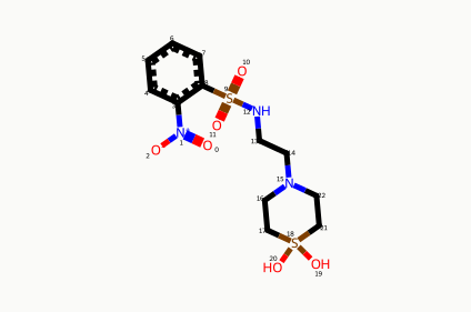 O=[N+]([O-])c1ccccc1S(=O)(=O)NCCN1CCS(O)(O)CC1